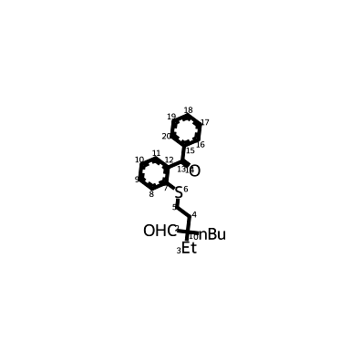 CCCCC(C=O)(CC)CCSc1ccccc1C(=O)c1ccccc1